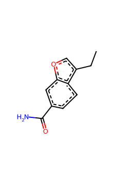 CCc1coc2cc(C(N)=O)ccc12